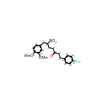 COc1ccc(CC(CCC(=O)CCc2ccc(F)cc2)[N+](=O)[O-])cc1OC